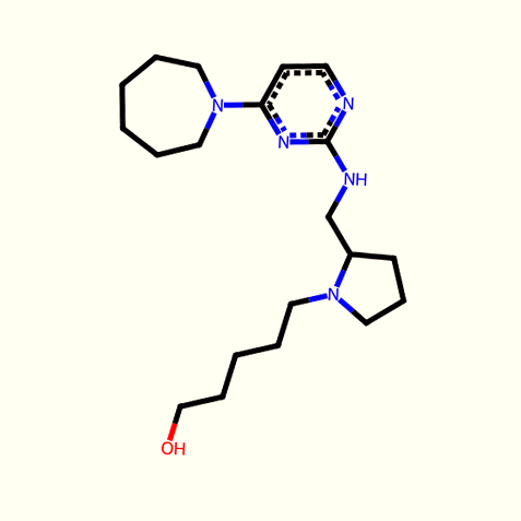 OCCCCCN1CCCC1CNc1nccc(N2CCCCCC2)n1